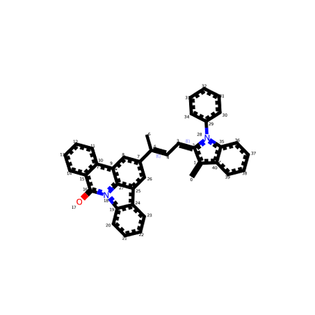 C=c1/c(=C\C=C(/C)c2cc3c4ccccc4c(=O)n4c5ccccc5c(c2)c34)n(-c2ccccc2)c2ccccc12